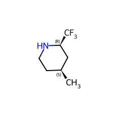 C[C@H]1CCN[C@@H](C(F)(F)F)C1